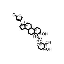 C[C@]12CCC3C(CC[C@@H]4C(NO[C@H]5OCC[C@@H](O)[C@@H]5O)[C@@H](O)CC[C@]34C)C1CC[C@@H]2C1=CC(=O)OC1